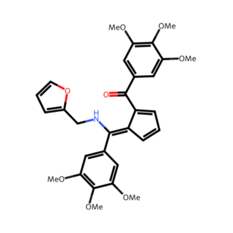 COc1cc(C(=O)C2=CC=CC2=C(NCc2ccco2)c2cc(OC)c(OC)c(OC)c2)cc(OC)c1OC